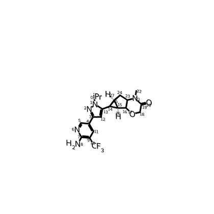 CC(C)n1nc(-c2cnc(N)c(C(F)(F)F)c2)cc1C1[C@@H]2C3OCC(=O)N(C)C3C[C@H]12